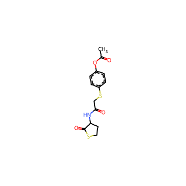 CC(=O)Oc1ccc(SCC(=O)NC2CCSC2=O)cc1